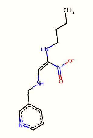 CCCCNC(=CNCc1cccnc1)[N+](=O)[O-]